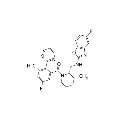 Cc1cc(F)cc(C(=O)N2CCC[C@@H](C)[C@H]2CNc2nc3cc(F)ccc3o2)c1-c1ncccn1